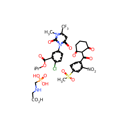 CC(C)OC(=O)c1cc(-n2c(=O)cc(C(F)(F)F)n(C)c2=O)ccc1Cl.CS(=O)(=O)c1ccc(C(=O)C2C(=O)CCCC2=O)c([N+](=O)[O-])c1.O=C(O)CNCP(=O)(O)O